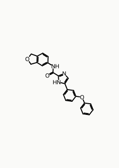 O=C(Nc1ccc2c(c1)COC2)c1ncc(-c2cccc(Oc3ccccc3)c2)[nH]1